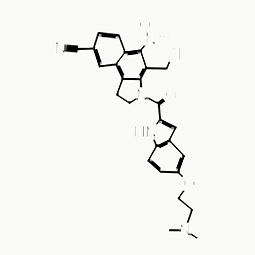 CN(C)CCOc1ccc2[nH]c(C(=O)N3CCc4c3c(CCl)c([N+](=O)[O-])c3ccc(C#N)cc43)cc2c1